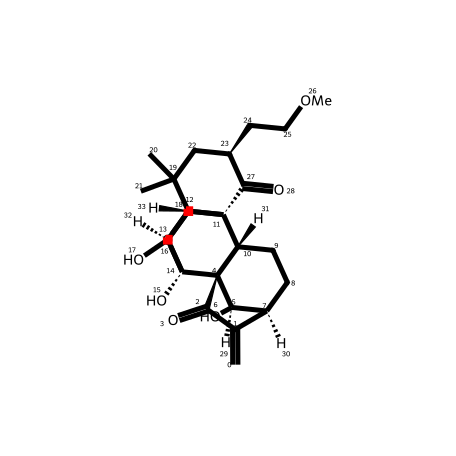 C=C1C(=O)[C@]23[C@H](O)[C@H]1CC[C@H]2[C@@]12CO[C@@]3(O)[C@@H](O)[C@@H]1C(C)(C)C[C@@H](CCOC)C2=O